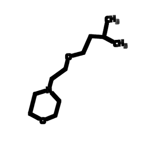 CC(C)CCOCCN1CCOCC1